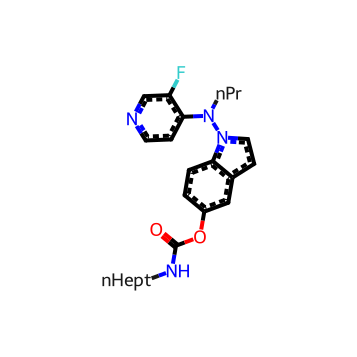 CCCCCCCNC(=O)Oc1ccc2c(ccn2N(CCC)c2ccncc2F)c1